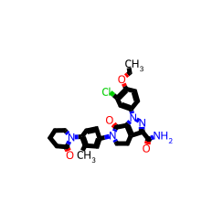 CCOc1ccc(-n2nc(C(N)=O)c3c2C(=O)N(c2ccc(N4CCCCC4=O)c(C)c2)CC3)cc1Cl